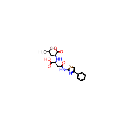 CC(C)C[C@H](N[C@@H](CC(=O)Nc1nc(-c2ccccc2)cs1)C(=O)O)C(=O)O